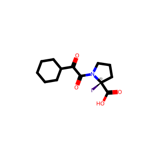 O=C(C(=O)N1CCC[C@]1(I)C(=O)O)C1CCCCC1